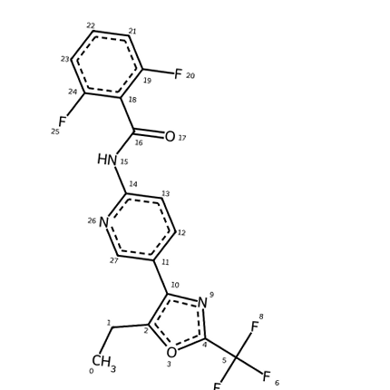 CCc1oc(C(F)(F)F)nc1-c1ccc(NC(=O)c2c(F)cccc2F)nc1